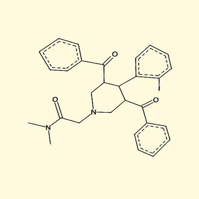 CN(C)C(=O)CN1CC(C(=O)c2ccccc2)C(c2ccccc2I)C(C(=O)c2ccccc2)C1